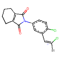 CC/C(Cl)=C/c1cc(N2C(=O)C3=C(CCCC3)C2=O)ccc1Cl